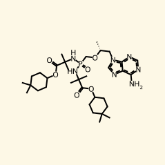 C[C@H](Cn1cnc2c(N)ncnc21)OCP(=O)(NC(C)(C)C(=O)OC1CCC(C)(C)CC1)NC(C)(C)C(=O)OC1CCC(C)(C)CC1